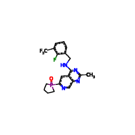 Cc1nc(NCc2cccc(C(F)(F)F)c2F)c2cc(P3(=O)CCCC3)ncc2n1